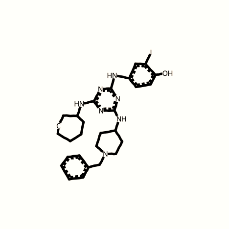 Oc1ccc(Nc2nc(NC3CCCCCC3)nc(NC3CCN(Cc4ccccc4)CC3)n2)cc1I